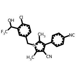 [C-]#[N+]c1ccc(-c2c(C#N)c(C)n(Cc3ccc(Cl)c(C(O)C(F)(F)F)c3)c2C)cc1